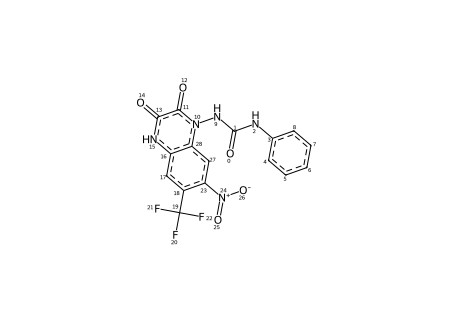 O=C(Nc1ccccc1)Nn1c(=O)c(=O)[nH]c2cc(C(F)(F)F)c([N+](=O)[O-])cc21